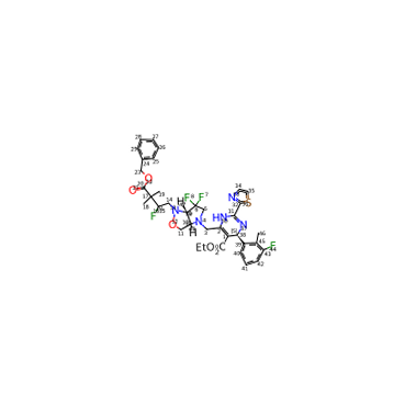 CCOC(=O)C1=C(CN2CC(F)(F)[C@@H]3[C@H]2CON3C[C@@H](F)C(C)(C)C(=O)OCc2ccccc2)NC(c2nccs2)=N[C@H]1c1cccc(F)c1C